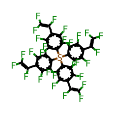 FC(F)=C(F)c1c(F)c(F)c(S(c2c(F)c(F)c(C(F)=C(F)F)c(F)c2F)(c2c(F)c(F)c(C(F)=C(F)F)c(F)c2F)c2c(F)c(F)c(C(F)=C(F)F)c(F)c2F)c(F)c1F